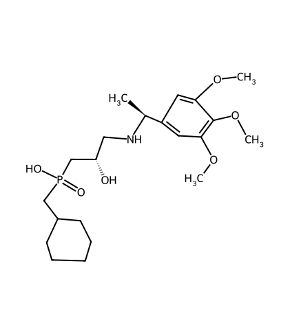 COc1cc([C@H](C)NC[C@H](O)CP(=O)(O)CC2CCCCC2)cc(OC)c1OC